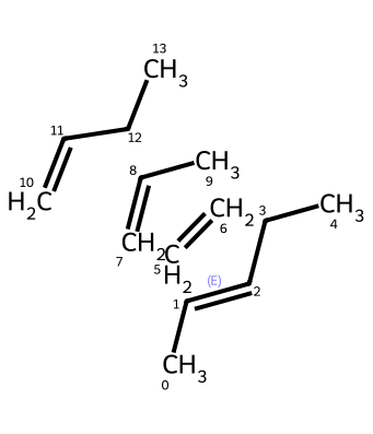 C/C=C/CC.C=C.C=CC.C=CCC